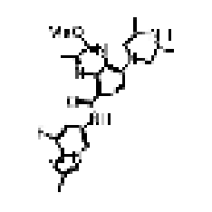 COc1nc2c(N3CC(C)NC(C)C3)ccc(C(=O)Nc3cc(F)c4nc(C)cn4c3)c2nc1C